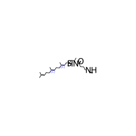 C=CNCCCC(=O)NC(C)CSC/C=C(\C)CC/C=C(\C)CCC=C(C)C